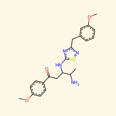 COc1ccc(C(=O)CC(Nc2nc(Cc3cccc(OC)c3)ns2)C(C)N)cc1